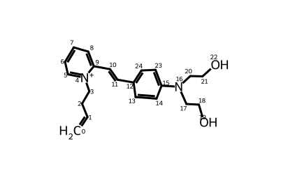 C=CCC[n+]1ccccc1/C=C/c1ccc(N(CCO)CCO)cc1